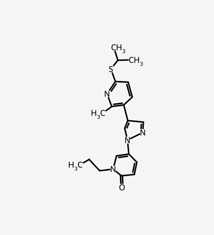 CCCn1cc(-n2cc(-c3ccc(SC(C)C)nc3C)cn2)ccc1=O